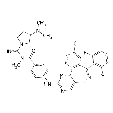 CN(C(=N)N1CCC(N(C)C)C1)C(=O)c1ccc(Nc2ncc3c(n2)-c2ccc(Cl)cc2C(c2c(F)cccc2F)=NC3)cc1